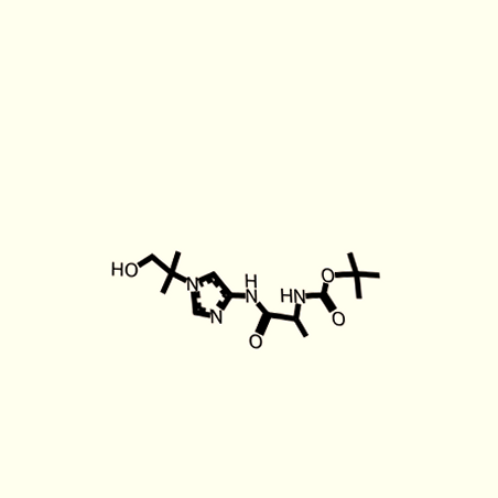 CC(NC(=O)OC(C)(C)C)C(=O)Nc1cn(C(C)(C)CO)cn1